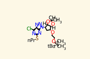 CCCSc1nc(Cl)c2nnn([C@@H]3C[C@H](OCCO[Si](C)(C)C(C)(C)C)[C@H]4OC(C)(C)O[C@H]43)c2n1